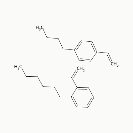 C=Cc1ccc(CCCC)cc1.C=Cc1ccccc1CCCCCC